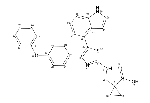 O=C(O)C1(CNc2nc(-c3ccc(Oc4ccccc4)cc3)c(-c3cccc4[nH]ccc34)s2)CC1